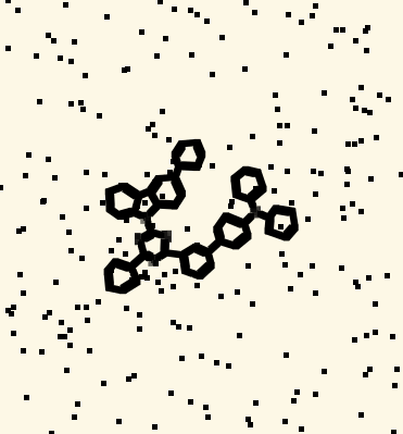 c1ccc(-c2ccc3c(c2)c2ccccc2n3-c2nc(-c3ccccc3)nc(-c3cccc(-c4ccc(N(c5ccccc5)c5ccccc5)cc4)c3)n2)cc1